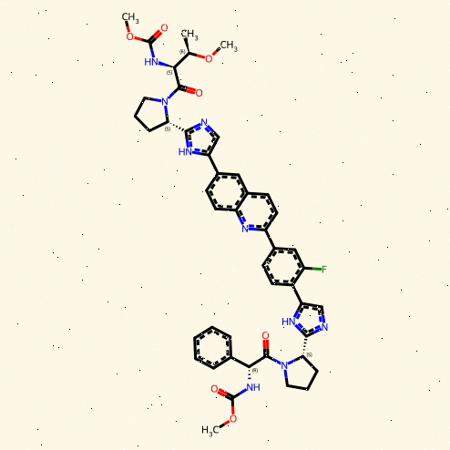 COC(=O)N[C@H](C(=O)N1CCC[C@H]1c1ncc(-c2ccc3nc(-c4ccc(-c5cnc([C@@H]6CCCN6C(=O)[C@H](NC(=O)OC)c6ccccc6)[nH]5)c(F)c4)ccc3c2)[nH]1)[C@@H](C)OC